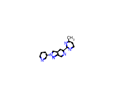 Cc1ccnc(-c2cc3cn(-c4cccnc4)nc3cn2)n1